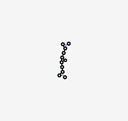 c1ccc(-n2c3ccccc3c3cc(-c4ccc(-c5ccc6c(c5)C5(CCCC5)c5cc(-c7ccc(-c8ccc9c(c8)c8ccccc8n9-c8ccccc8)cc7)ccc5-6)cc4)ccc32)cc1